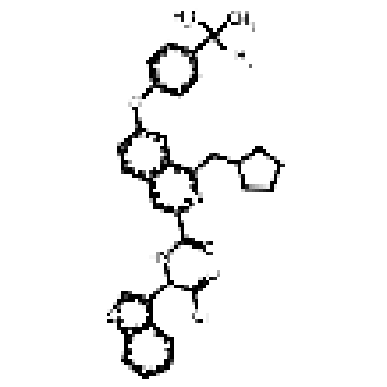 CC(C)(C)c1ccc(Oc2ccc3cc(C(=O)NC(C(=O)O)c4csc5ccccc45)nc(CC4CCCC4)c3c2)cc1